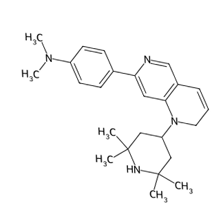 CN(C)c1ccc(-c2cc3c(cn2)C=CCN3C2CC(C)(C)NC(C)(C)C2)cc1